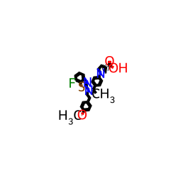 COc1ccc(CCN(c2nc3cccc(F)c3s2)C(C)c2ccc(N3CC[C@H](C(=O)O)C3)cc2)cc1